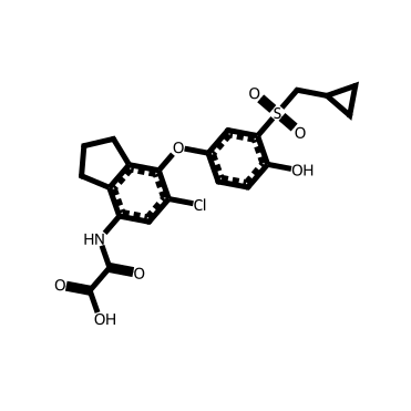 O=C(O)C(=O)Nc1cc(Cl)c(Oc2ccc(O)c(S(=O)(=O)CC3CC3)c2)c2c1CCC2